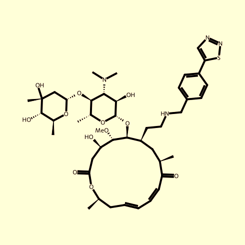 CO[C@@H]1[C@@H](O[C@@H]2O[C@H](C)[C@@H](O[C@H]3C[C@@](C)(O)[C@@H](O)[C@H](C)O3)[C@H](N(C)C)[C@H]2O)[C@@H](CCNCc2ccc(-c3cnns3)cc2)C[C@@H](C)C(=O)/C=C\C=C\C[C@@H](C)OC(=O)C[C@H]1O